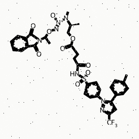 Cc1ccc(-c2cc(C(F)(F)F)nn2-c2ccc(S(=O)(=O)NC(=O)CCC(=O)OC[C@H](C)N(C)/[N+]([O-])=N/OC(C)N3C(=O)c4ccccc4C3=O)cc2)cc1